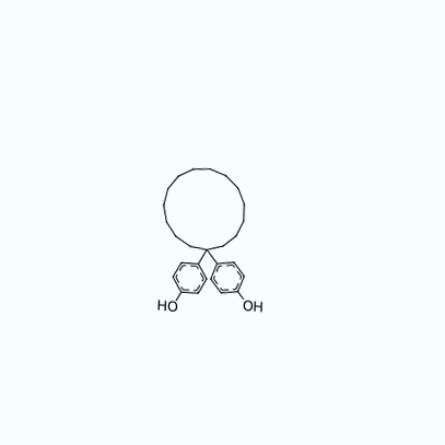 Oc1ccc(C2(c3ccc(O)cc3)CCCCCCCCCCCCCC2)cc1